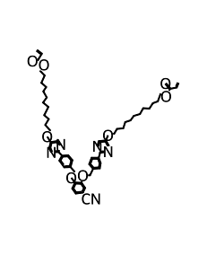 C=CC(=O)OCCCCCCCCCCCCOc1cnc(-c2ccc(COc3ccc(C#N)cc3OCc3ccc(-c4ncc(OCCCCCCCCCCCCOC(=O)C=C)cn4)cc3)cc2)nc1